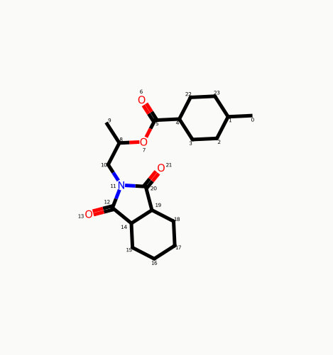 CC1CCC(C(=O)OC(C)CN2C(=O)C3CCCCC3C2=O)CC1